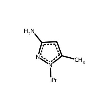 Cc1cc(N)nn1C(C)C